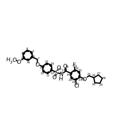 COc1cccc(COc2ccc(S(=O)(=O)NC(=O)c3cc(Cl)c(OCC4CCCC4)cc3F)cc2)c1